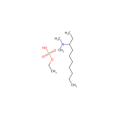 CCCCCCCC(CC)N(C)C.CCOS(=O)(=O)O